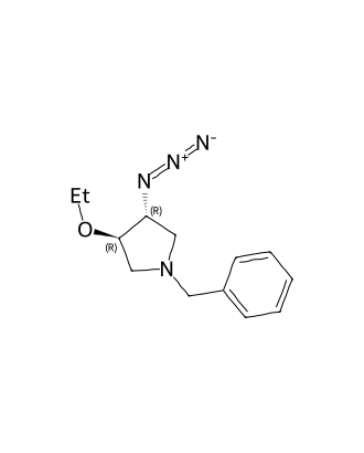 CCO[C@@H]1CN(Cc2ccccc2)C[C@H]1N=[N+]=[N-]